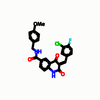 COc1ccc(CNC(=O)c2ccc3c(c2)C(=O)/C(=C\c2ccc(F)c(Cl)c2)C(=O)N3)cc1